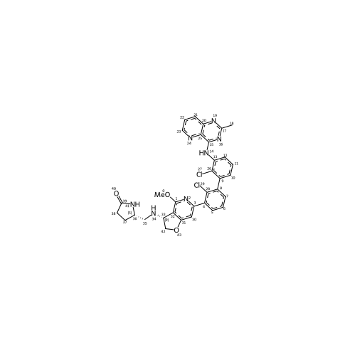 COc1nc(-c2cccc(-c3cccc(Nc4nc(C)nc5cccnc45)c3Cl)c2Cl)cc2c1[C@@H](NC[C@@H]1CCC(=O)N1)CO2